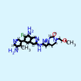 COCCN1CCc2cc(Nc3cc4cc(-c5cncc(N)c5C)c(F)c(N)c4cn3)nn2CC1=O